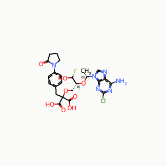 C[C@@H](O[C@H](COC(Cc1ccc(N2CCCC2=O)cc1)(C(=O)O)C(=O)O)C(O)F)n1cnc2c(N)nc(Cl)nc21